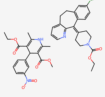 CCOC(=O)C1=C(C)NC(C)=C(C(=O)OC)C1c1cccc([N+](=O)[O-])c1.CCOC(=O)N1CCC(=C2c3ccc(Cl)cc3CCc3cccnc32)CC1